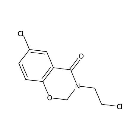 O=C1c2cc(Cl)ccc2OCN1CCCl